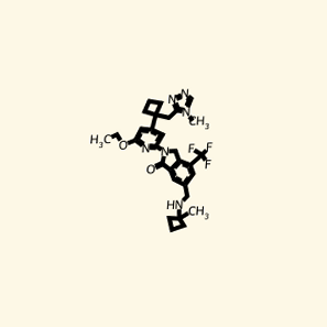 CCOc1cc(C2(Cc3nncn3C)CCC2)cc(N2Cc3c(cc(CNC4(C)CCC4)cc3C(F)(F)F)C2=O)n1